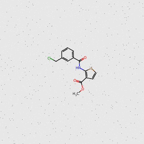 COC(=O)c1ccsc1NC(=O)c1cccc(CCl)c1